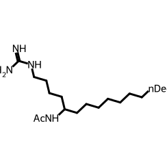 CCCCCCCCCCCCCCCCCC(CCCCNC(=N)N)NC(C)=O